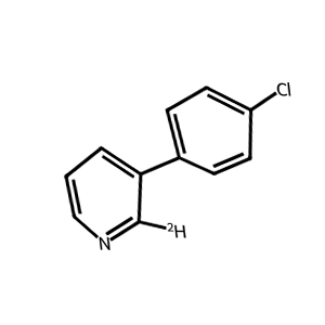 [2H]c1ncccc1-c1ccc(Cl)cc1